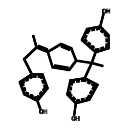 CC(Cc1ccc(O)cc1)=C1C=CC(C(C)(c2ccc(O)cc2)c2ccc(O)cc2)C=C1